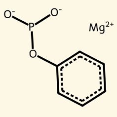 [Mg+2].[O-]P([O-])Oc1ccccc1